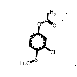 CSc1ccc(OC(C)=O)cc1Cl